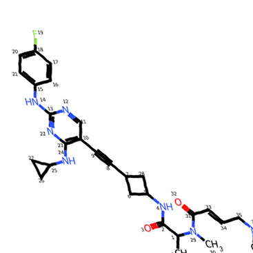 CC(C(=O)NC1CC(C#Cc2cnc(Nc3ccc(F)cc3)nc2NC2CC2)C1)N(C)C(=O)/C=C/CN(C)C